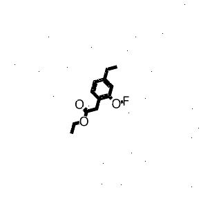 CCOC(=O)Cc1ccc(CC)cc1OF